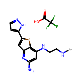 CCNCCNc1cc(N)nc2cc(-c3ccn[nH]3)sc12.O=C(O)C(F)(F)F